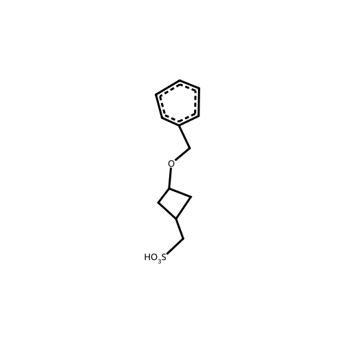 O=S(=O)(O)CC1CC(OCc2ccccc2)C1